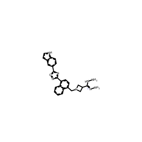 N/N=C(\NN)C1CN(Cc2ccc(-c3noc(-c4ccc5[nH]ccc5c4)n3)c3ccccc23)C1